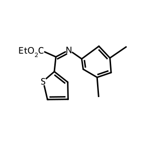 CCOC(=O)/C(=N/c1cc(C)cc(C)c1)c1cccs1